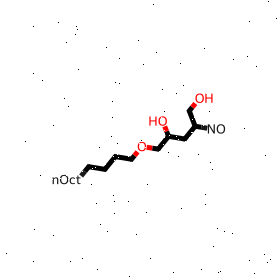 CCCCCCCCCCCCOCC(O)CC(CO)N=O